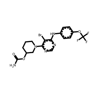 NC(=O)OC1CCCN(c2ncnc(Nc3ccc(OC(F)(F)F)cc3)c2Br)C1